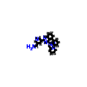 NCc1cncc(-c2nc(NCc3ccccn3)c3c(-c4ccccc4)cccc3n2)c1